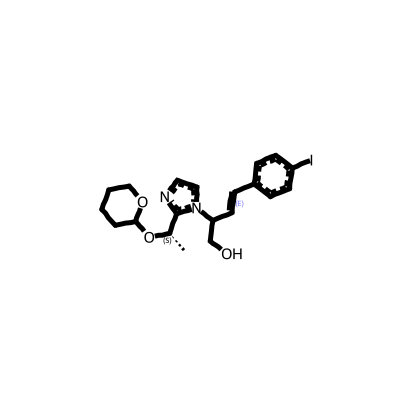 C[C@H](OC1CCCCO1)c1nccn1C(/C=C/c1ccc(I)cc1)CO